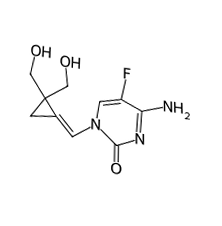 Nc1nc(=O)n(C=C2CC2(CO)CO)cc1F